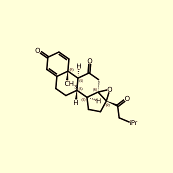 CC(C)CC(=O)[C@@]12CC[C@H]3[C@@H]4CCC5=CC(=O)C=C[C@]5(C)[C@H]4C(=O)C[C@@]31O2